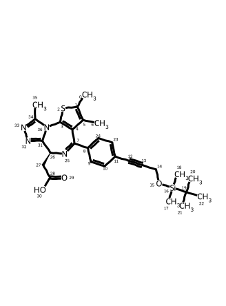 Cc1sc2c(c1C)C(c1ccc(C#CCO[Si](C)(C)C(C)(C)C)cc1)=N[C@@H](CC(=O)O)c1nnc(C)n1-2